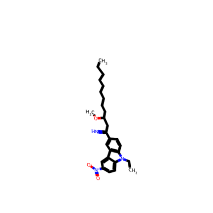 CCCCCCCCCC(CC(=N)c1ccc2c(c1)c1cc([N+](=O)[O-])ccc1n2CC)OC